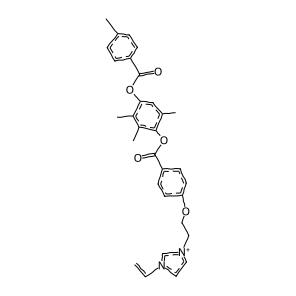 C=Cn1cc[n+](CCOc2ccc(C(=O)Oc3c(C)cc(OC(=O)c4ccc(C)cc4)c(C)c3C)cc2)c1